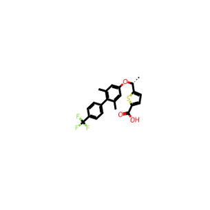 Cc1cc(O[C@H](C)c2ccc(C(=O)O)s2)cc(C)c1-c1ccc(C(F)(F)F)cc1